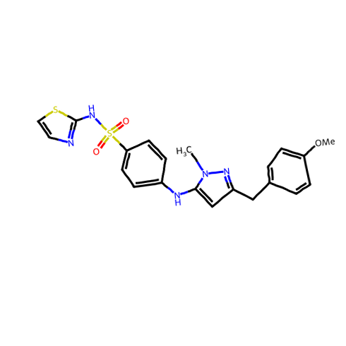 COc1ccc(Cc2cc(Nc3ccc(S(=O)(=O)Nc4nccs4)cc3)n(C)n2)cc1